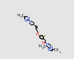 Cc1cnc(N2CCC([C@H]3C[C@H]3CCOc3ccc(CC(=O)N4CCn5c(C(F)(F)F)cnc5C4C)c(F)c3)CC2)nc1